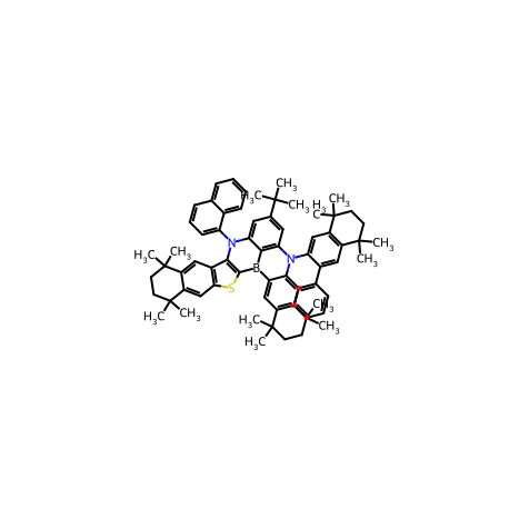 CC(C)(C)c1cc2c3c(c1)N(c1cccc4ccccc14)c1c(sc4cc5c(cc14)C(C)(C)CCC5(C)C)B3c1cc3c(cc1N2c1cc2c(cc1-c1ccccc1)C(C)(C)CCC2(C)C)C(C)(C)CCC3(C)C